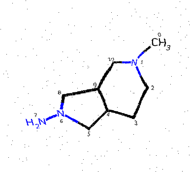 CN1CCC2CN(N)CC2C1